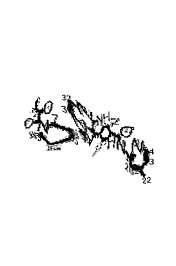 CCC(=O)C(=O)N1C[C@H](c2nc(-c3ccc(C(=O)Nc4cc(C)ccn4)cc3)c3c(N)nccn23)CC[C@@H]1C